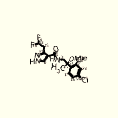 COC(C)(CNC(=O)c1c[nH]nc1CC(F)F)c1ccc(Cl)cc1Cl